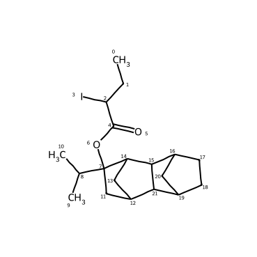 CCC(I)C(=O)OC1(C(C)C)CC2CC1C1C3CCC(C3)C21